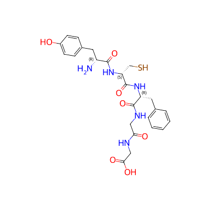 N[C@H](Cc1ccc(O)cc1)C(=O)N[C@H](CS)C(=O)N[C@H](Cc1ccccc1)C(=O)NCC(=O)NCC(=O)O